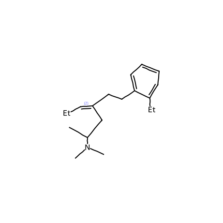 CC/C=C(/CCc1ccccc1CC)CC(C)N(C)C